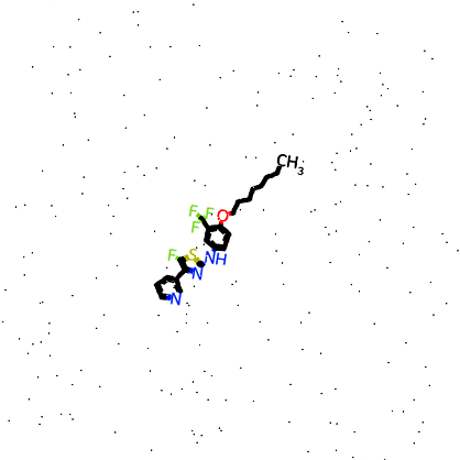 CCCCCCCCOc1ccc(Nc2nc(-c3cccnc3)c(F)s2)cc1C(F)(F)F